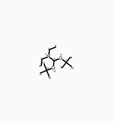 CCN(CC)C(OC(C)(C)C)OC(C)(C)C